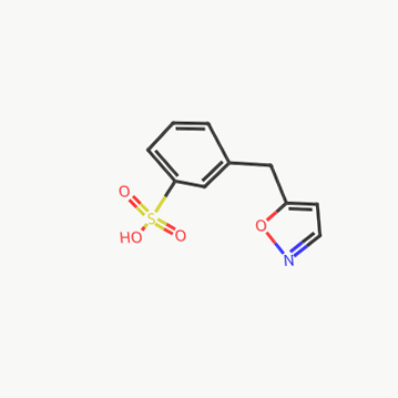 O=S(=O)(O)c1cccc(Cc2ccno2)c1